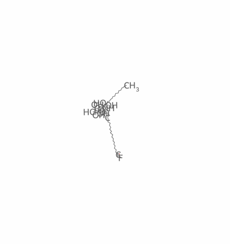 CCCCCCCCCCCCCC[C@@H](O)[C@@H](O)[C@H](COC1OC(CO)C(O)C(O)C1O)NC(=O)CCCCCCCCCCCCCCCCCCCCCCC12CC(F)(C1)C2